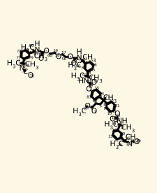 COC(=O)CCC(C)(c1ccc(OC(=O)NC(C)(C)c2cccc(C(C)(C)N=C=O)c2)cc1)c1ccc(OC(=O)NC(C)(C)c2cccc(C(C)(C)NC(=O)OCCOCCOC(=O)NC(C)(C)c3cccc(C(C)(C)N=C=O)c3)c2)cc1